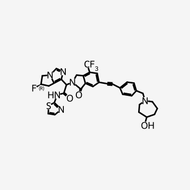 O=C(Nc1nccs1)C(c1ncn2c1C[C@@H](F)C2)N1Cc2c(cc(C#Cc3ccc(CN4CCCC(O)CC4)cc3)cc2C(F)(F)F)C1=O